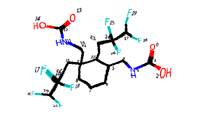 O=C(O)NCC1CCCC(CNC(=O)O)(CC(F)(F)C(F)F)C1CC(F)(F)C(F)F